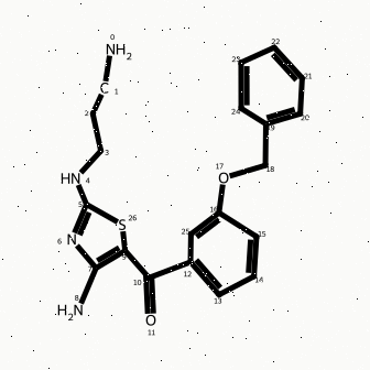 NCCCNc1nc(N)c(C(=O)c2cccc(OCc3ccccc3)c2)s1